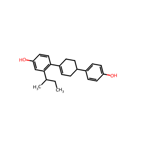 CCC(C)c1cc(O)ccc1C1=CCC(c2ccc(O)cc2)CC1